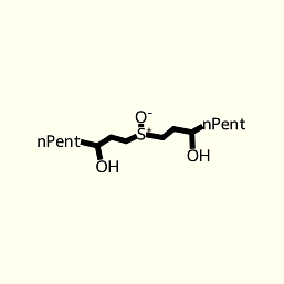 CCCCCC(O)CC[S+]([O-])CCC(O)CCCCC